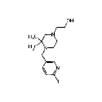 CC1(C)CN(CCO)CCN1Cc1ccc(I)nc1